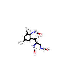 CC(CCC(C)C(CN=C=O)N=C=O)CC(C)CN=C=O